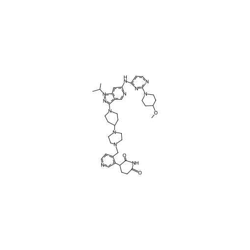 COC1CCN(c2nccc(Nc3cc4c(cn3)c(N3CCC(N5CCN(Cc6ccncc6C6CCC(=O)NC6=O)CC5)CC3)nn4C(C)C)n2)CC1